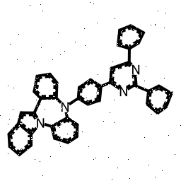 c1ccc(-c2cc(-c3ccc(N4c5ccccc5-c5cc6ccccc6n5-c5ccccc54)cc3)nc(-c3ccccc3)n2)cc1